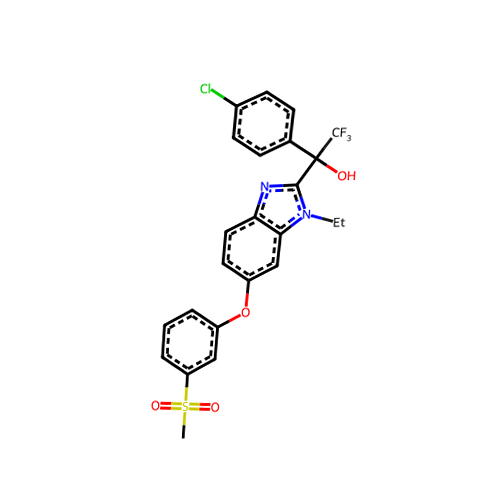 CCn1c(C(O)(c2ccc(Cl)cc2)C(F)(F)F)nc2ccc(Oc3cccc(S(C)(=O)=O)c3)cc21